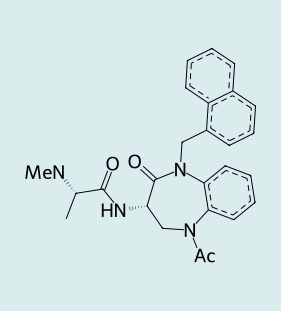 CN[C@@H](C)C(=O)N[C@H]1CN(C(C)=O)c2ccccc2N(Cc2cccc3ccccc23)C1=O